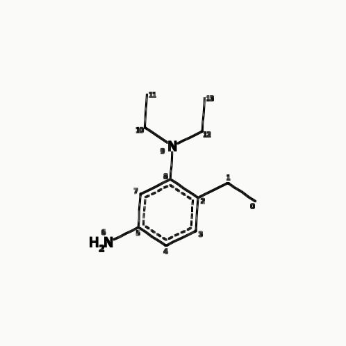 CCc1ccc(N)cc1N(CC)CC